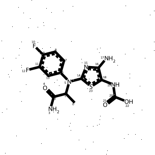 CC(C(N)=O)N(c1ccc(F)c(F)c1)c1nc(N)c(NC(=O)O)s1